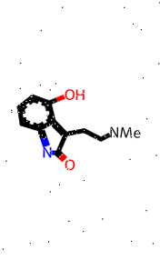 CNCCC1=c2c(O)cccc2=NC1=O